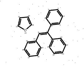 C(=C(c1ccccc1)c1ccccc1)c1ccccc1.c1ccoc1